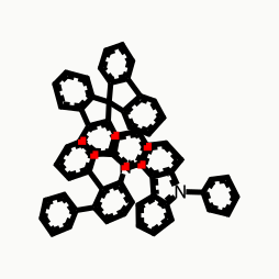 c1ccc(-c2ccccc2-c2c(-c3ccccc3)cccc2N(c2ccc3c(c2)C2(c4ccccc4-c4ccccc42)c2ccccc2-3)c2cccc3c2c2ccccc2n3-c2ccccc2)cc1